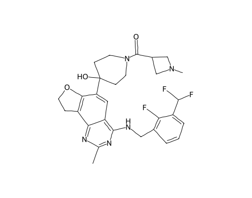 Cc1nc(NCc2cccc(C(F)F)c2F)c2cc(C3(O)CCN(C(=O)C4CN(C)C4)CC3)c3c(c2n1)CCO3